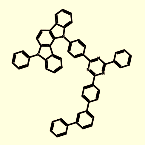 c1ccc(-c2cccc(-c3ccc(-c4nc(-c5ccccc5)nc(-c5ccc(-n6c7ccccc7c7ccc8c(c9ccccc9n8-c8ccccc8)c76)cc5)n4)cc3)c2)cc1